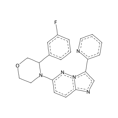 Fc1cccc(C2COCCN2c2ccc3ncc(-c4ccccn4)n3n2)c1